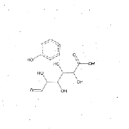 O=CC(O)C(O)C(O)C(O)C(=O)O.Oc1ccccc1